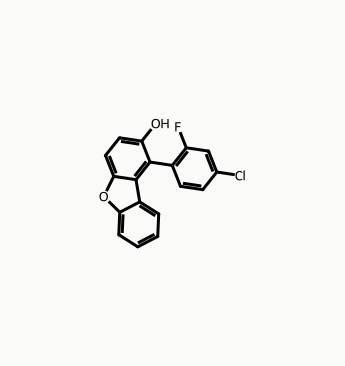 Oc1ccc2oc3ccccc3c2c1-c1ccc(Cl)cc1F